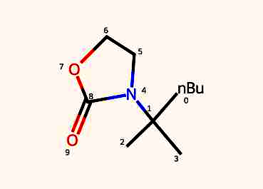 CCCCC(C)(C)N1CCOC1=O